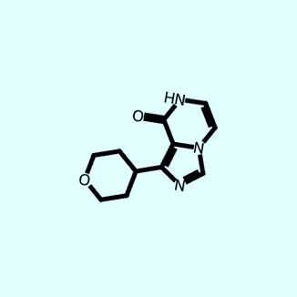 O=c1[nH]ccn2cnc(C3CCOCC3)c12